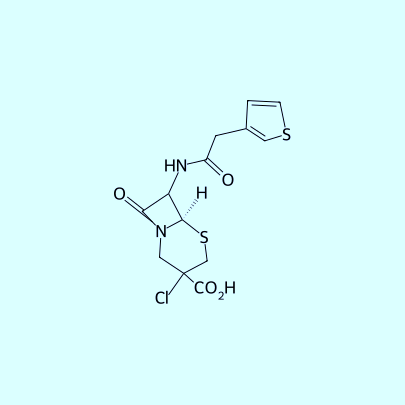 O=C(Cc1ccsc1)NC1C(=O)N2CC(Cl)(C(=O)O)CS[C@H]12